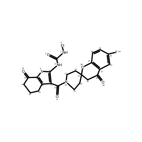 CCNC(=O)Nc1sc2c(c1C(=O)N1CCC3(CC1)CC(=O)c1cc(F)ccc1O3)CCCC2=O